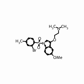 COc1ccc2c(c1)c(OCCN(C)C)cn2S(=O)(=O)c1ccc(C)cc1Br